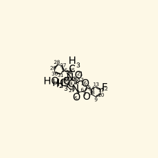 C#CCN1C(=O)c2oc3ccc(F)cc3c2OCC1(C)C(=O)N(C(=O)O)[C@@H](C)c1ccccc1